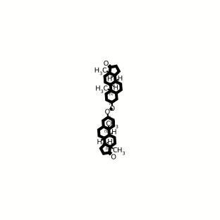 C[C@]12CC[C@H](OO[C@H]3CC[C@@]4(C)C(CC[C@@H]5[C@@H]4CC[C@]4(C)C(=O)CC[C@@H]54)C3)CC1CC[C@@H]1[C@@H]2CC[C@]2(C)C(=O)CC[C@@H]12